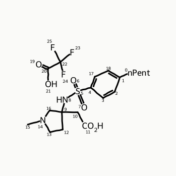 CCCCCc1ccc(S(=O)(=O)NC2(CC(=O)O)CCN(C)C2)cc1.O=C(O)C(F)(F)F